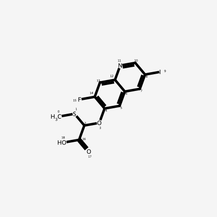 CSC(Oc1cc2cc(I)cnc2cc1F)C(=O)O